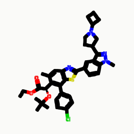 CCOC(=O)[C@@H](OC(C)(C)C)c1c(C)cc2nc(-c3ccc4c(c3)c(C3CCN(C5CCC5)C3)nn4C)sc2c1-c1ccc(Cl)cc1